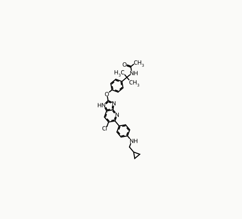 CC(=O)NC(C)(C)c1ccc(Oc2nc3nc(-c4ccc(NCC5CC5)cc4)c(Cl)cc3[nH]2)cc1